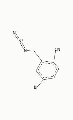 N#Cc1ccc(Br)cc1CN=[N+]=[N-]